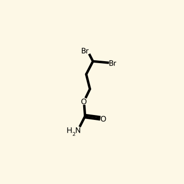 NC(=O)OCCC(Br)Br